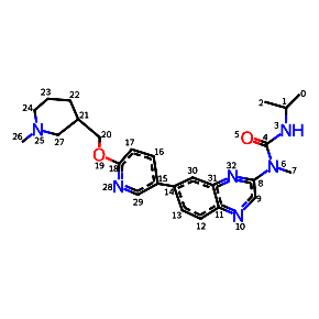 CC(C)NC(=O)N(C)c1cnc2ccc(-c3ccc(OCC4CCCN(C)C4)nc3)cc2n1